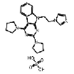 O=S(=O)(O)O.c1ccc2c(c1)c1c(N3CCCC3)nc(N3CCCC3)nc1n2CCn1ccnc1